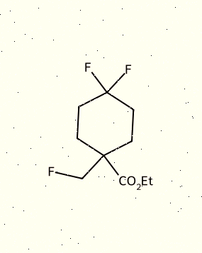 CCOC(=O)C1(CF)CCC(F)(F)CC1